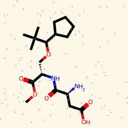 COC(=O)[C@H](COC(C1CCCC1)C(C)(C)C)NC(=O)[C@@H](N)CC(=O)O